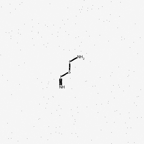 N=IS[I]N